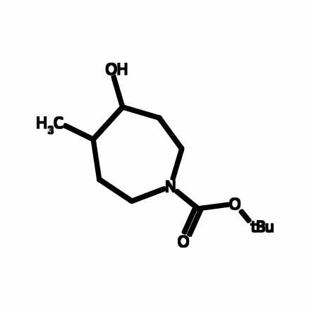 CC1CCN(C(=O)OC(C)(C)C)CCC1O